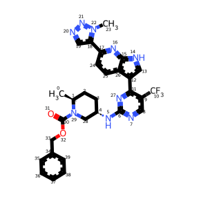 C[C@H]1CC[C@H](Nc2ncc(C(F)(F)F)c(-c3c[nH]c4nc(-c5cnnn5C)ccc34)n2)CN1C(=O)OCc1ccccc1